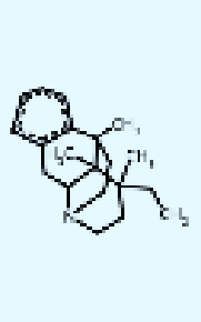 CCC1(C)CCN2CCC3(C)c4ccccc4CC2C13C